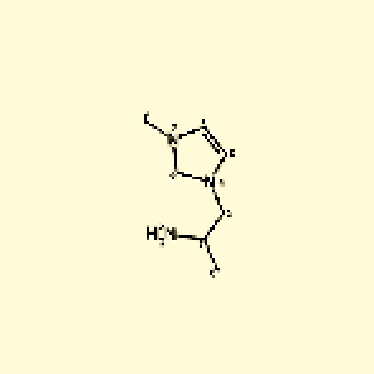 CC(N)CN1C=CN(C)C1